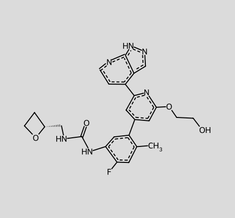 Cc1cc(F)c(NC(=O)NC[C@H]2CCO2)cc1-c1cc(OCCO)nc(-c2ccnc3[nH]ncc23)c1